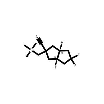 CS(C)(C)CC1(C#N)C[C@H]2CC(F)(F)C[C@H]2C1